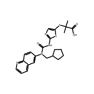 CC(C)(Sc1cnc(NC(=O)N(CC2CCCC2)c2ccc3ncccc3c2)s1)C(=O)O